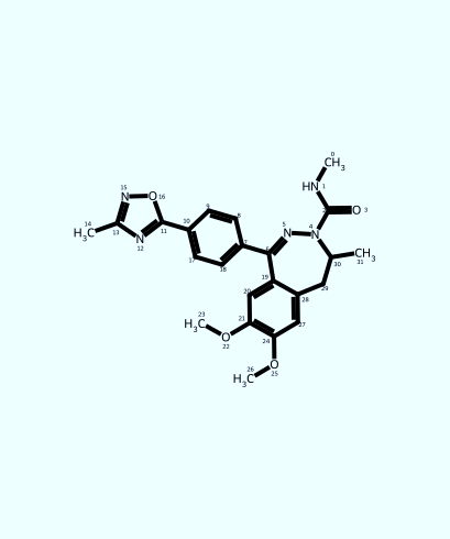 CNC(=O)N1N=C(c2ccc(-c3nc(C)no3)cc2)c2cc(OC)c(OC)cc2CC1C